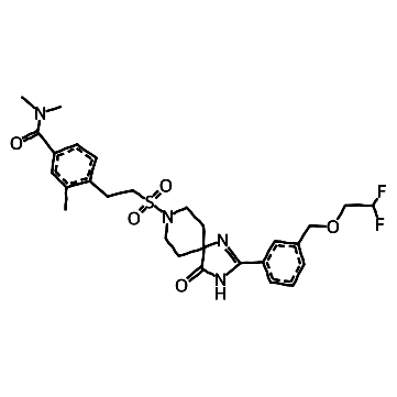 Cc1cc(C(=O)N(C)C)ccc1CCS(=O)(=O)N1CCC2(CC1)N=C(c1cccc(COCC(F)F)c1)NC2=O